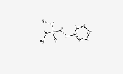 CCC(C)OP(=O)(OCc1ccccc1)OC(C)CC